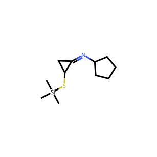 C[Si](C)(C)SC1C/C1=N/C1CCCC1